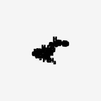 CCP(=O)(CC)c1ncc(-n2ccn(-c3c4c(nn3-c3cc(C)c(F)c(C)c3)CCN(C(=O)c3cc5cc(C6CCOCC6)ccc5[nH]3)[C@H]4C)c2=O)cc1NC